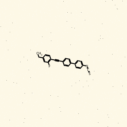 CCc1ccc(C#Cc2ccc(-c3ccc(N=C=S)cc3)cc2)c(F)c1